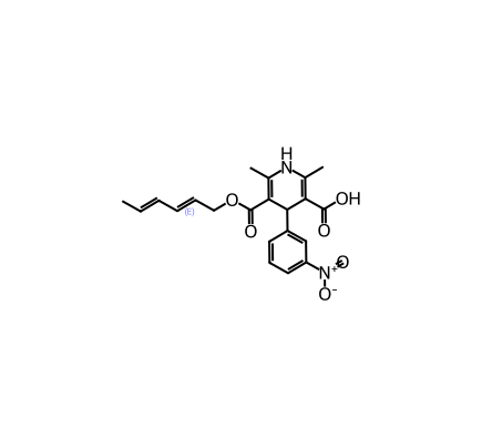 CC=C/C=C/COC(=O)C1=C(C)NC(C)=C(C(=O)O)C1c1cccc([N+](=O)[O-])c1